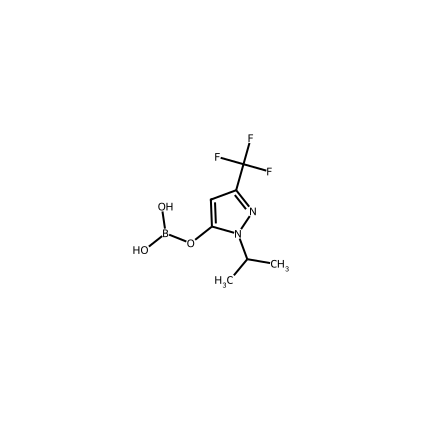 CC(C)n1nc(C(F)(F)F)cc1OB(O)O